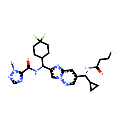 CCn1ncnc1C(=O)N[C@H](c1cn2ncc([C@H](NC(=O)CCC(F)(F)F)C3CC3)cc2n1)C1CCC(F)(F)CC1